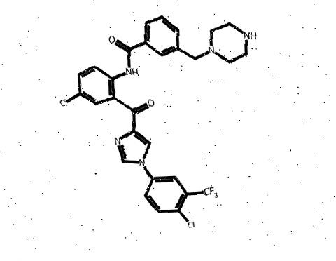 O=C(Nc1ccc(Cl)cc1C(=O)c1cn(-c2ccc(Cl)c(C(F)(F)F)c2)cn1)c1cccc(CN2CCNCC2)c1